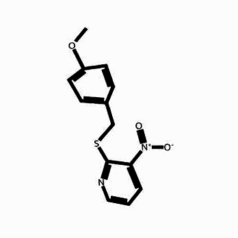 COc1ccc(CSc2ncccc2[N+](=O)[O-])cc1